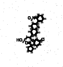 O=C(O)CC(NC(=O)C1(c2ccc(Cl)cc2)CCCC1)c1ccc2nc(-c3ccccc3[N+](=O)[O-])ccc2c1